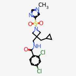 Cn1cnc(S(=O)(=O)N2CC(CNC(=O)c3ccc(Cl)cc3Cl)(CC3CC3)C2)c1